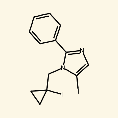 Ic1cnc(-c2ccccc2)n1CC1(I)CC1